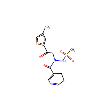 CS(=O)(=O)NN(CC(=O)c1cc([N+](=O)[O-])cs1)C(=O)C1=CN=CCC1